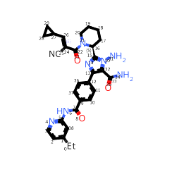 CCc1ccnc(NC(=O)c2ccc(-c3nc([C@@H]4CCCCN4C(=O)/C(C#N)=C/C4CC4)n(N)c3C(N)=O)cc2)c1